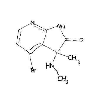 CNC1(C)C(=O)Nc2nccc(Br)c21